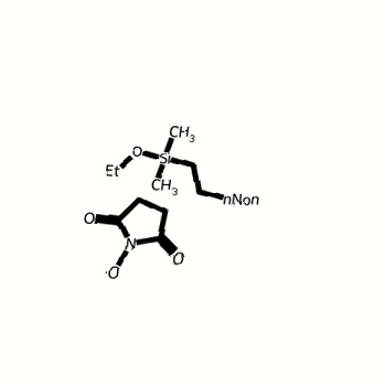 CCCCCCCCCCC[Si](C)(C)OCC.[O]N1C(=O)CCC1=O